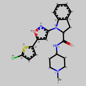 CC(C)N1CCC(NC(=O)C2Cc3ccccc3N2c2cc(-c3ccc(Cl)s3)on2)CC1